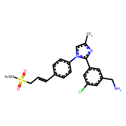 CC(=O)NS(=O)(=O)CC=Cc1ccc(-n2cc(C(F)(F)F)nc2-c2cc(Cl)cc(CN)c2)cc1